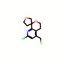 ClCc1cc(Cl)nc2c1CCOC21CCOC1